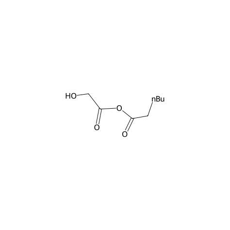 CCCCCC(=O)OC(=O)CO